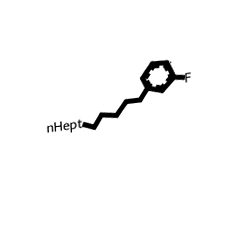 CCCCCCCCCCCCc1cc[c]c(F)c1